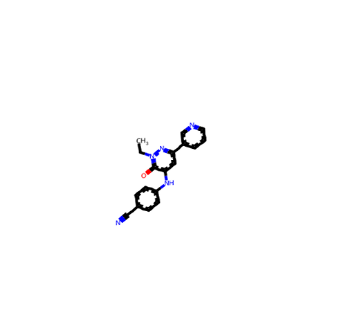 CCn1nc(-c2cccnc2)cc(Nc2ccc(C#N)cc2)c1=O